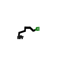 CCCCC/C=C\CCl